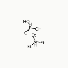 CC[SiH](CC)CC.O=[PH](O)O